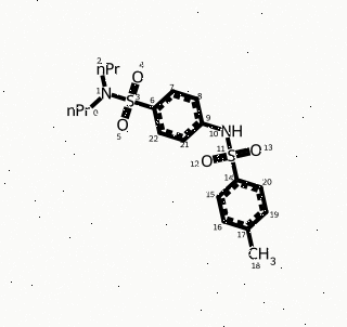 CCCN(CCC)S(=O)(=O)c1ccc(NS(=O)(=O)c2ccc(C)cc2)cc1